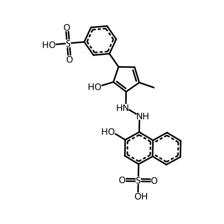 CC1=CC(c2cccc(S(=O)(=O)O)c2)C(O)=C1NNc1c(O)cc(S(=O)(=O)O)c2ccccc12